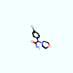 NC(=O)C(c1ccc(Cl)cc1)N1CCOCC1